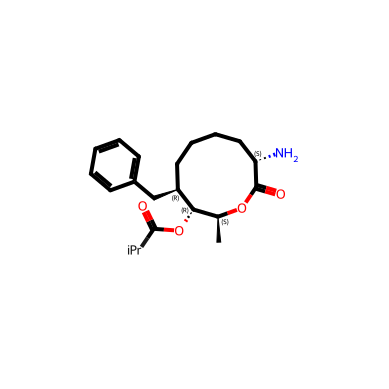 CC(C)C(=O)O[C@@H]1[C@@H](Cc2ccccc2)CCCC[C@H](N)C(=O)O[C@H]1C